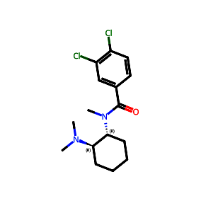 CN(C)[C@@H]1CCCC[C@H]1N(C)C(=O)c1ccc(Cl)c(Cl)c1